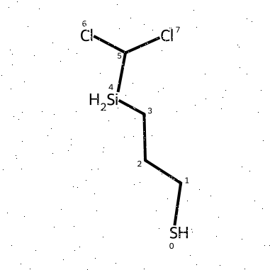 SCCC[SiH2]C(Cl)Cl